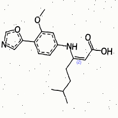 COc1cc(N/C(=C\C(=O)O)CCC(C)C)ccc1-c1cnco1